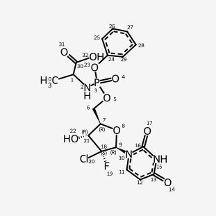 CC(NP(=O)(OC[C@H]1O[C@@H](n2ccc(=O)[nH]c2=O)[C@@](F)(Cl)[C@@H]1O)Oc1ccccc1)C(=O)O